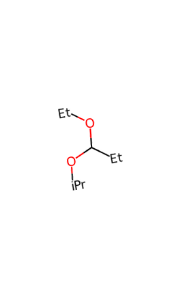 CCOC(CC)OC(C)C